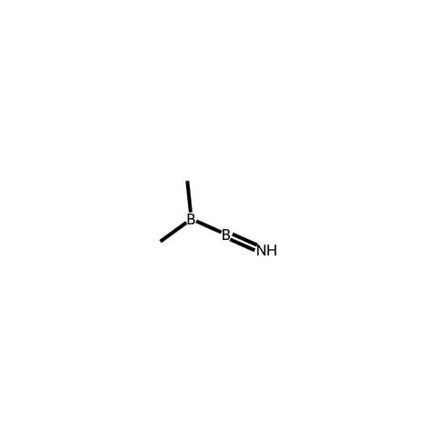 CB(C)B=N